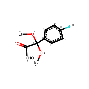 CCOC(OCC)(C(=O)C=O)c1ccc(F)cc1